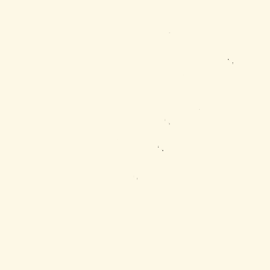 CCCNc1nnc(Cc2c(Cl)cncc2Cl)c2ccc(OC)cc12